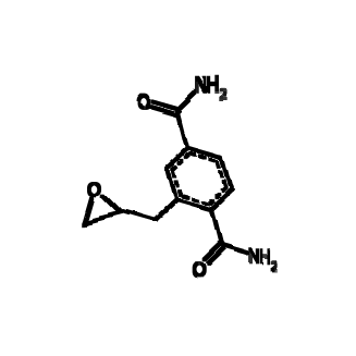 NC(=O)c1ccc(C(N)=O)c(CC2CO2)c1